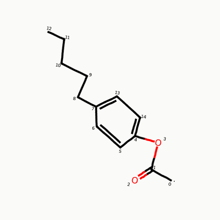 [CH2]C(=O)Oc1ccc(CCCCC)cc1